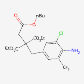 CCCCOC(=O)CC(Cc1cc(Cl)c(N)c(C(F)(F)F)c1)(C(=O)OCC)C(=O)OCC